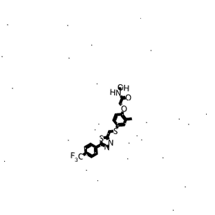 Cc1cc(SCc2nnc(-c3ccc(C(F)(F)F)cc3)s2)ccc1OCC(=O)NO